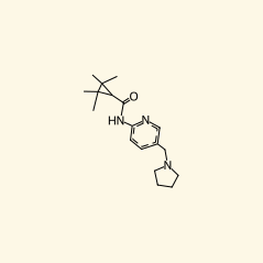 CC1(C)C(C(=O)Nc2ccc(CN3CCCC3)cn2)C1(C)C